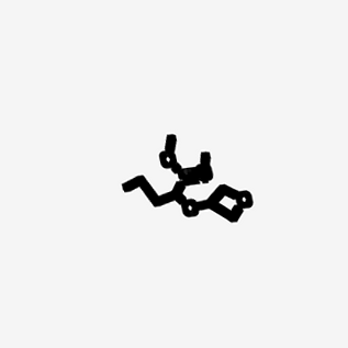 CCCC(OC1COC1)[SiH](OC)OC